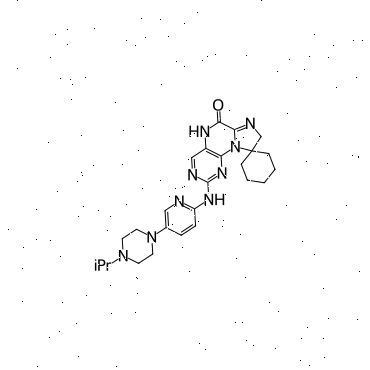 CC(C)N1CCN(c2ccc(Nc3ncc4c(n3)N3C(=NCC35CCCCC5)C(=O)N4)nc2)CC1